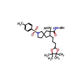 CC(=O)NC1(C(=O)NC(C)(C)C)CC2(CCN(S(=O)(=O)c3ccc(C)cc3)C2)CC1CCCB1OC(C)(C)C(C)(C)O1